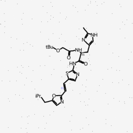 Cc1nc(C[C@H](NC(=O)COC(C)(C)C)C(=O)Nc2ncc(/C=C/c3ncc(CC(C)C)o3)s2)c[nH]1